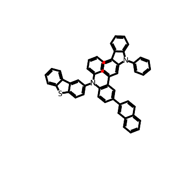 c1ccc(N(c2ccc3sc4ccccc4c3c2)c2ccc(-c3ccc4ccccc4c3)cc2-c2ccc3c4ccccc4n(-c4ccccc4)c3c2)cc1